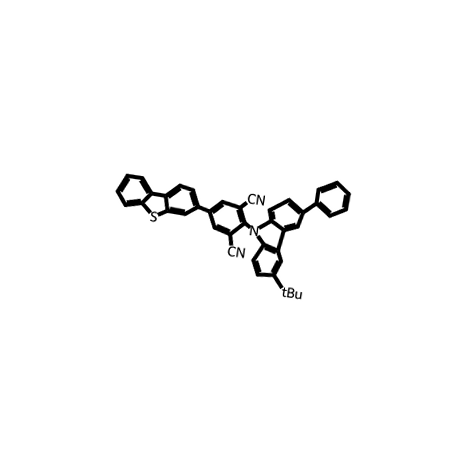 CC(C)(C)c1ccc2c(c1)c1cc(-c3ccccc3)ccc1n2-c1c(C#N)cc(-c2ccc3c(c2)sc2ccccc23)cc1C#N